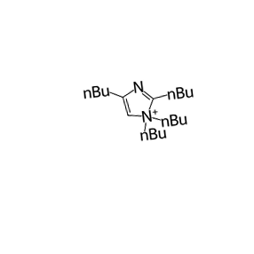 CCCCC1=C[N+](CCCC)(CCCC)C(CCCC)=N1